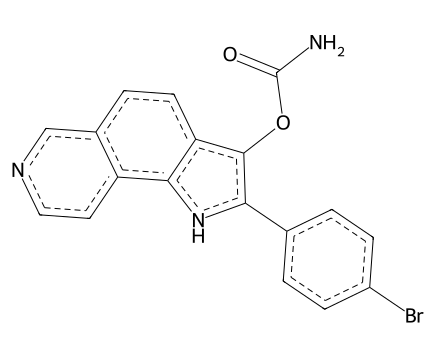 NC(=O)Oc1c(-c2ccc(Br)cc2)[nH]c2c1ccc1cnccc12